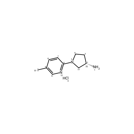 Cl.N[C@H]1CCN(c2ccc(I)cn2)C1